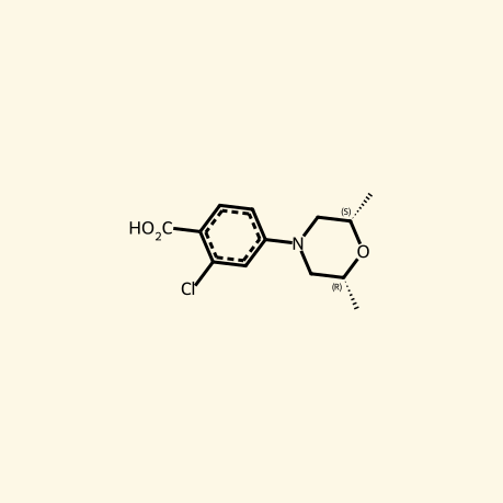 C[C@@H]1CN(c2ccc(C(=O)O)c(Cl)c2)C[C@H](C)O1